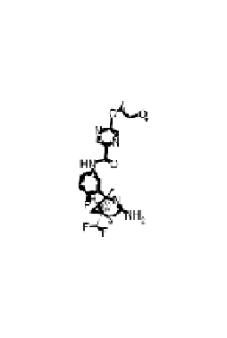 COC[C@H](C)Oc1cnc(C(=O)Nc2ccc(F)c([C@]3(C)N=C(N)S[C@@]4(C(F)F)C[C@@H]34)c2)cn1